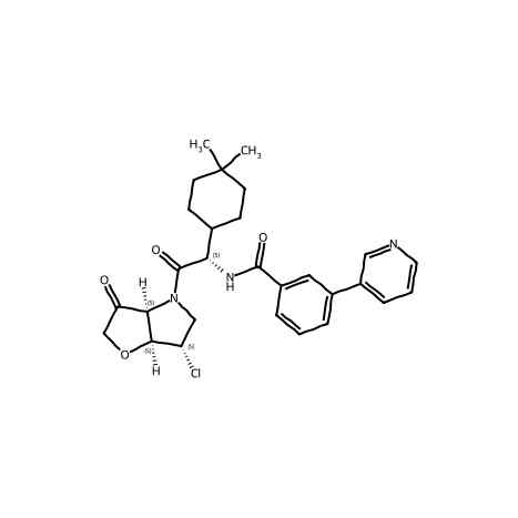 CC1(C)CCC([C@H](NC(=O)c2cccc(-c3cccnc3)c2)C(=O)N2C[C@H](Cl)[C@H]3OCC(=O)[C@H]32)CC1